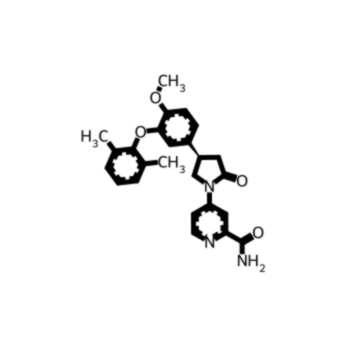 COc1ccc([C@H]2CC(=O)N(c3ccnc(C(N)=O)c3)C2)cc1Oc1c(C)cccc1C